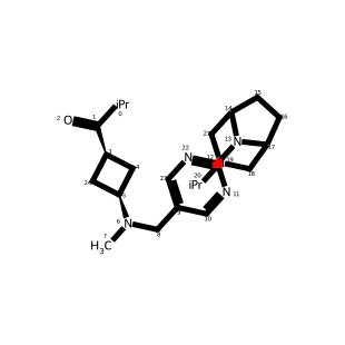 CC(C)C(=O)[C@H]1C[C@@H](N(C)Cc2cnc(N3C4CCC3CN(C(C)C)C4)nc2)C1